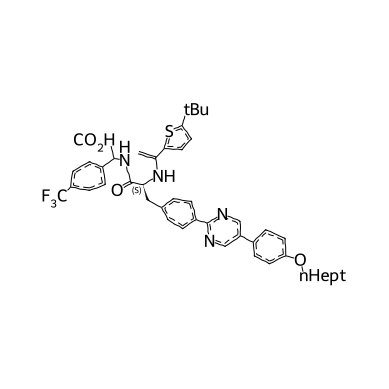 C=C(N[C@@H](Cc1ccc(-c2ncc(-c3ccc(OCCCCCCC)cc3)cn2)cc1)C(=O)NC(C(=O)O)c1ccc(C(F)(F)F)cc1)c1ccc(C(C)(C)C)s1